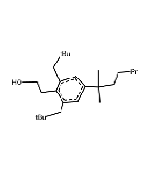 CC(C)CCC(C)(C)c1cc(CC(C)(C)C)c(CCO)c(CC(C)(C)C)c1